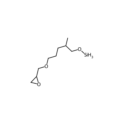 CC(CCCOCC1CO1)CO[SiH3]